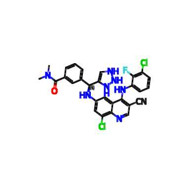 CN(C)C(=O)c1cccc([C@H](Nc2cc(Cl)c3ncc(C#N)c(Nc4cccc(Cl)c4F)c3c2)C2=CNNN2)c1